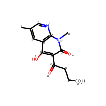 Cc1cnc2c(c1)c(O)c(C(=O)CCC(=O)O)c(=O)n2C